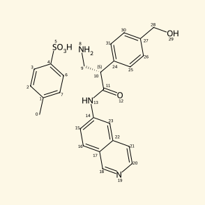 Cc1ccc(S(=O)(=O)O)cc1.NC[C@@H](C(=O)Nc1ccc2cnccc2c1)c1ccc(CO)cc1